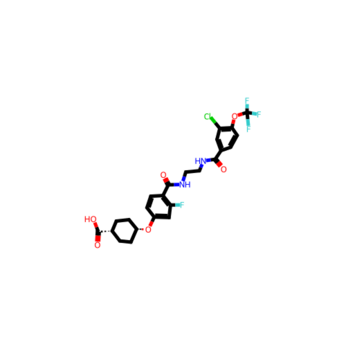 O=C(NCCNC(=O)c1ccc(O[C@H]2CC[C@@H](C(=O)O)CC2)cc1F)c1ccc(OC(F)(F)F)c(Cl)c1